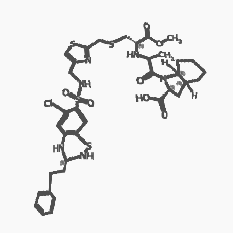 COC(=O)[C@@H](CSCc1nc(CNS(=O)(=O)c2cc3c(cc2Cl)N[C@H](CCc2ccccc2)NS3)cs1)NC(C)C(=O)N1[C@@H]2CCCC[C@@H]2C[C@H]1C(=O)O